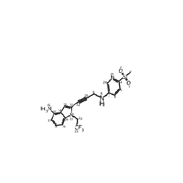 CS(=O)(=O)c1ccc(NCC#Cc2cc3c(N)cccc3n2CC(F)(F)F)cn1